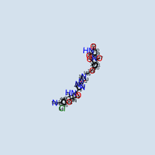 CC1(C)C(NC(=O)c2cnc(N3CCN(CCCOc4ccc5c(c4)C(=O)N(C4CCC(=O)NC4=O)C5=O)CC3)nc2)C(C)(C)C1Oc1ccc(C#N)c(Cl)c1